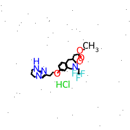 CCOC(=O)CC1Cc2ccc(OCCc3cn4c(n3)NCCC4)cc2CN(CC(F)(F)F)C1=O.Cl